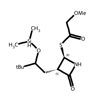 COCC(=O)S[C@H]1NC(=O)[C@@H]1CC(O[SiH](C)C)C(C)(C)C